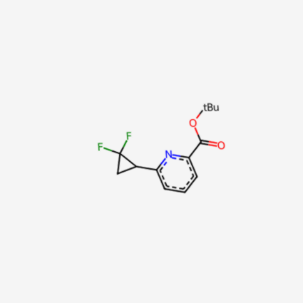 CC(C)(C)OC(=O)c1cccc(C2CC2(F)F)n1